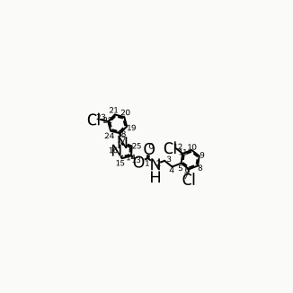 O=C(NCCc1c(Cl)cccc1Cl)Oc1cnn(-c2cccc(Cl)c2)c1